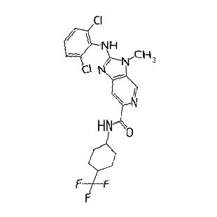 Cn1c(Nc2c(Cl)cccc2Cl)nc2cc(C(=O)NC3CCC(C(F)(F)F)CC3)ncc21